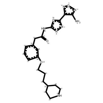 Nc1nonc1-c1nnc(NC(=O)Cc2cccc(OCCCC3CCNCC3)c2)o1